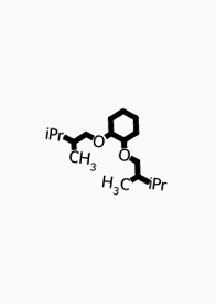 CC(C)C(C)COC1CCCCC1OCC(C)C(C)C